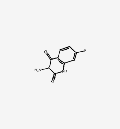 Nn1c(=O)[nH]c2cc(F)ccc2c1=O